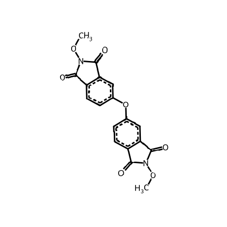 CON1C(=O)c2ccc(Oc3ccc4c(c3)C(=O)N(OC)C4=O)cc2C1=O